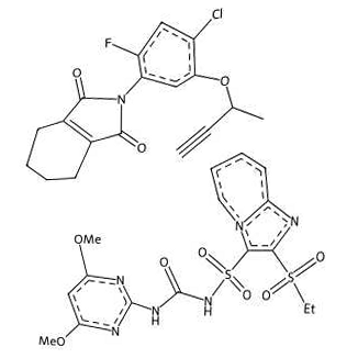 C#CC(C)Oc1cc(N2C(=O)C3=C(CCCC3)C2=O)c(F)cc1Cl.CCS(=O)(=O)c1nc2ccccn2c1S(=O)(=O)NC(=O)Nc1nc(OC)cc(OC)n1